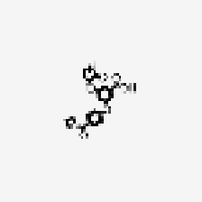 CN1CC[C@H](Oc2cc(Oc3ccc(C(=O)N4CCC4)cc3)cc(C(=O)O)c2)C1=O